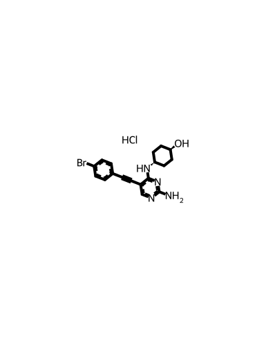 Cl.Nc1ncc(C#Cc2ccc(Br)cc2)c(N[C@H]2CC[C@H](O)CC2)n1